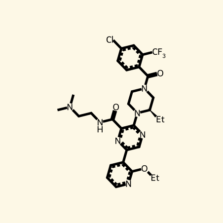 CCOc1ncccc1-c1cnc(N2CCN(C(=O)c3ccc(Cl)cc3C(F)(F)F)C[C@H]2CC)c(C(=O)NCCN(C)C)n1